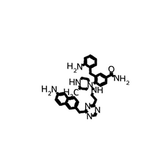 CC1C[N+](NCCc2ncnc(Cc3ccc4cc(N)ccc4c3)n2)(c2ccc(C(N)=O)cc2Cc2ccccc2N)CCN1